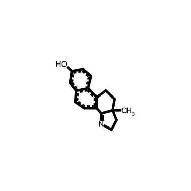 CC12CCN=C1c1ccc3cc(O)ccc3c1CC2